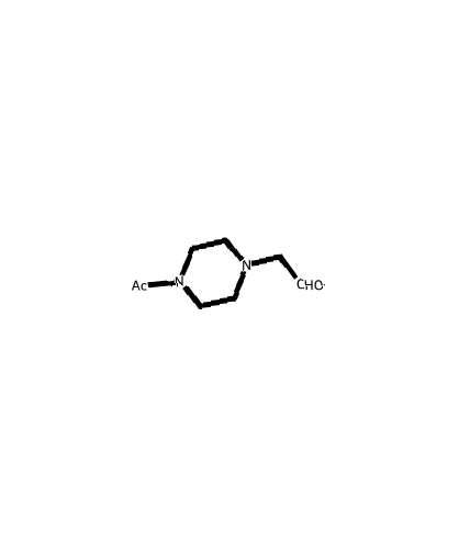 CC(=O)N1CCN(C[C]=O)CC1